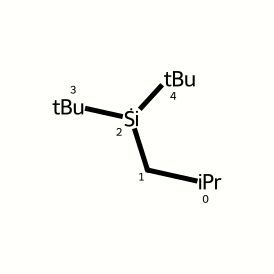 CC(C)C[Si](C(C)(C)C)C(C)(C)C